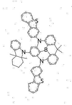 CC1(C)c2cccc3c2B2c4c(cc(N5c6ccccc6C6(C)CCCCC56C)cc4N(c4ccc5c(c4)sc4ccccc45)c4cccc1c42)N3c1ccc2c(c1)sc1ccccc12